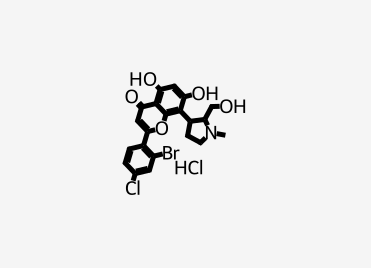 CN1CCC(c2c(O)cc(O)c3c(=O)cc(-c4ccc(Cl)cc4Br)oc23)C1CO.Cl